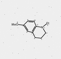 CCN1CCCc2cc(OC)ccc21